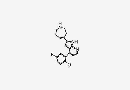 COc1ccc(F)cc1-c1ccnc2[nH]c(C3=CCCNCC3)cc12